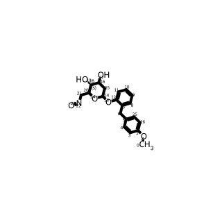 COc1ccc(Cc2ccccc2OC2CC(O)[C@H](O)C(CN=O)O2)cc1